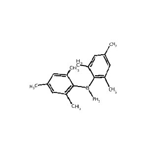 Cc1cc(C)c(B(P)c2c(C)cc(C)cc2C)c(C)c1